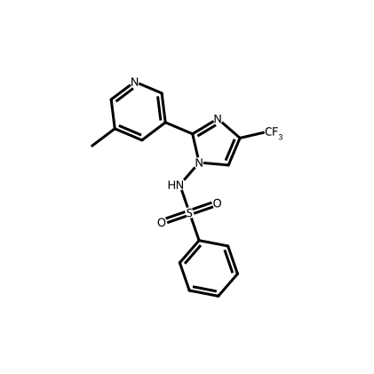 Cc1cncc(-c2nc(C(F)(F)F)cn2NS(=O)(=O)c2ccccc2)c1